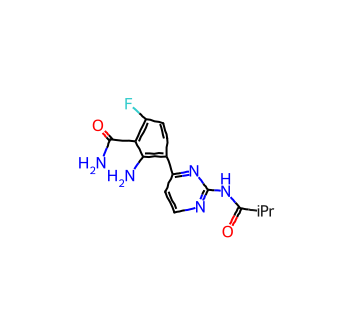 CC(C)C(=O)Nc1nccc(-c2ccc(F)c(C(N)=O)c2N)n1